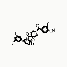 N#Cc1ccc(C(=O)N2CCC3(CC2)O[C@@H]2CC[C@@H](c4cc(F)cc(F)c4)N2C3=O)cc1F